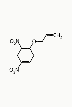 C=CCOC1CC=C([N+](=O)[O-])CC1[N+](=O)[O-]